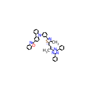 C=c1nc(-c2cccc(-n3c4ccccc4c4cc(-c5nc6ccccc6o5)ccc43)c2)s/c1=C/C=C(\C)c1nc(-c2ccccc2)nc(-c2ccccc2)n1